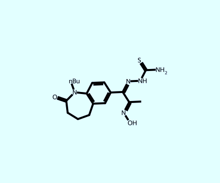 CCCCN1C(=O)CCCc2cc(C(=NNC(N)=S)C(C)=NO)ccc21